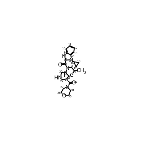 CC(C)CN(C(=O)c1nc2ccccc2n1C1CC1)[C@@H]1CNC[C@H](C(=O)N2CCOCC2)C1